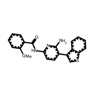 COc1ccccc1C(=O)Nc1ccc(-c2csc3ccccc23)c(N)n1